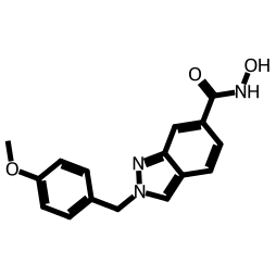 COc1ccc(Cn2cc3ccc(C(=O)NO)cc3n2)cc1